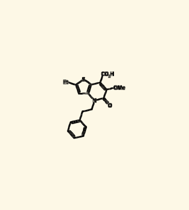 CCc1cc2c(s1)c(C(=O)O)c(OC)c(=O)n2CCc1ccccc1